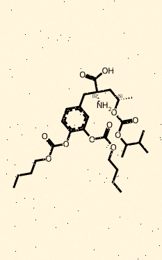 CCCCOC(=O)Oc1ccc(C[C@](N)(C[C@H](C)OC(=O)OC(C)C(C)C)C(=O)O)cc1OC(=O)OCCCC